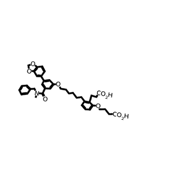 CN(Cc1ccccc1)C(=O)c1cc(OCCCCCCc2cccc(OCCCC(=O)O)c2CCC(=O)O)cc(-c2ccc3c(c2)OCO3)c1